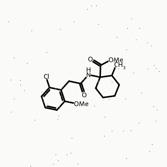 COC(=O)C1(NC(=O)Cc2c(Cl)cccc2OC)CCCCC1C